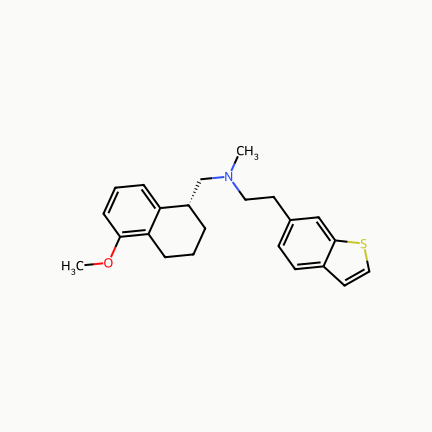 COc1cccc2c1CCC[C@H]2CN(C)CCc1ccc2ccsc2c1